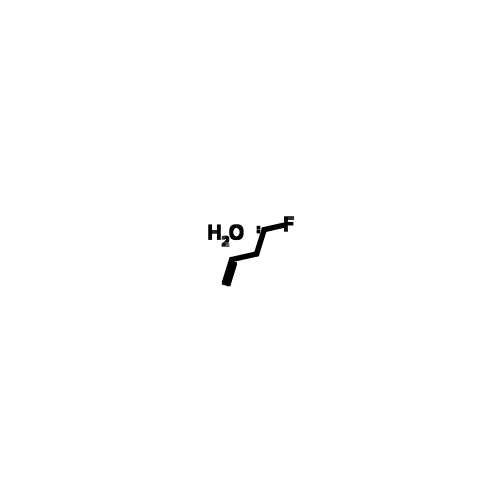 C=CC[C]F.O